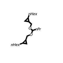 CCCCCCC1CC1COC(CCC)OCC1CC1CCCCCC